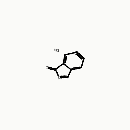 Cl.O=C1N=Cc2ccccc21